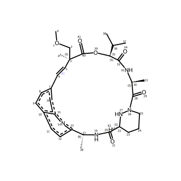 COC[C@]1(C)/C=C/c2ccc3ccc(nc3c2)[C@@H](C)NC(=O)[C@@H]2CCCN(N2)C(=O)[C@H](C)NC(=O)[C@H](C(C)C)OC1=O